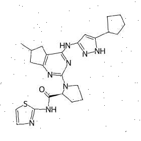 CC1Cc2nc(N3CCC[C@H]3C(=O)Nc3nccs3)nc(Nc3cc(C4CCCC4)[nH]n3)c2C1